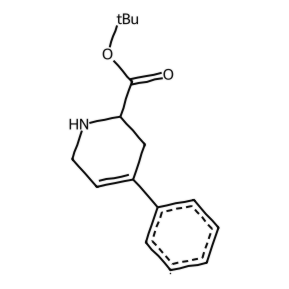 CC(C)(C)OC(=O)C1CC(c2c[c]ccc2)=CCN1